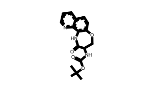 CC(C)(C)OC(=O)NC1COc2ccc3cccnc3c2NC1=O